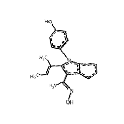 CC=C(C)c1c(C(N)=NO)c2ccccc2n1-c1ccc(O)cc1